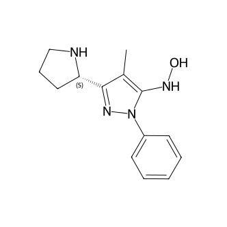 Cc1c([C@@H]2CCCN2)nn(-c2ccccc2)c1NO